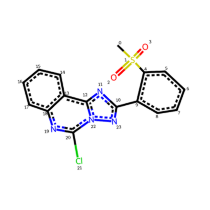 CS(=O)(=O)c1ccccc1-c1nc2c3ccccc3nc(Cl)n2n1